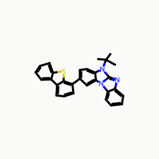 CC(C)(C)n1c2ccc(-c3cccc4c3sc3ccccc34)cc2n2c3ccccc3nc12